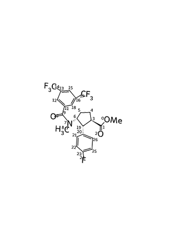 COC(=O)[C@@H]1CC[C@@H](N(C)C(=O)c2cc(C(F)(F)F)cc(C(F)(F)F)c2)[C@H]1c1ccc(F)cc1